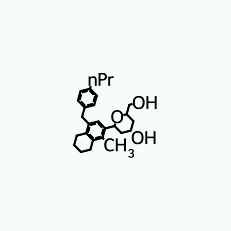 CCCc1ccc(Cc2cc(C3CC(O)CC(CO)O3)c(C)c3c2CCCC3)cc1